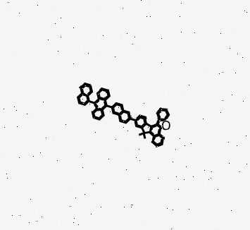 CC1(C)c2cc(-c3ccc4cc(-c5c6ccccc6c(-c6cccc7ccccc67)c6ccccc56)ccc4c3)ccc2-c2c1c1ccccc1c1oc3ccccc3c21